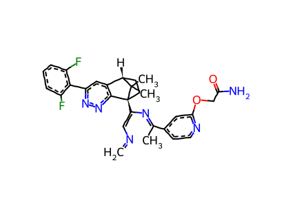 C=N/C=C(\N=C(/C)c1ccnc(OCC(N)=O)c1)[C@@]12CC[C@@H](c3cc(-c4c(F)cccc4F)nnc31)C2(C)C